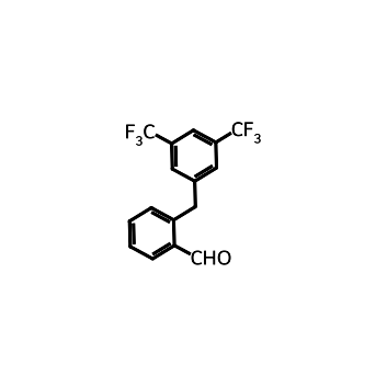 O=Cc1ccccc1Cc1cc(C(F)(F)F)cc(C(F)(F)F)c1